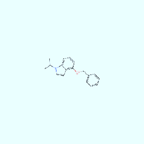 CC(C)n1ccc2c(OCc3ccccc3)cccc21